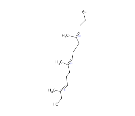 CC(=O)CC/C=C(\C)CC/C=C(\C)CC/C=C(\C)CO